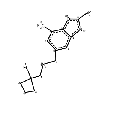 CCC1(CNCc2cc(C(F)(F)F)c3oc(C(C)C)nc3c2)CCC1